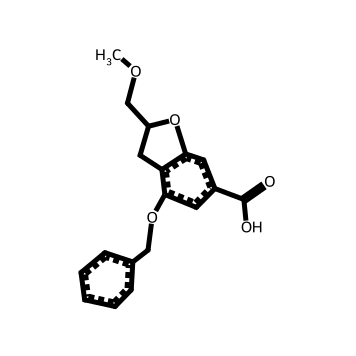 COCC1Cc2c(OCc3ccccc3)cc(C(=O)O)cc2O1